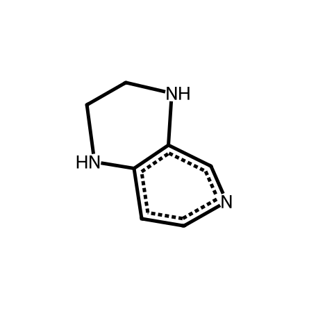 c1cc2c(cn1)NCCN2